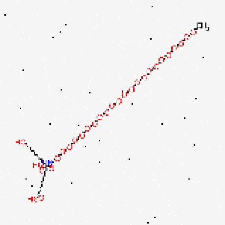 CCCOCCOCCOCCOCCOCCOCCOCCOCCOCCOCCOCCOCCOCCOCCOCCOCCOCCOCCOCCOCCOCCOCCOCCNC(=O)C(CCCCCCCCCCCO)(CCCCCCCCCCC(=O)O)C(=O)O